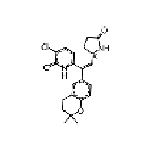 CC1(C)CCc2cc(C(=C[C@H]3CCC(=O)N3)c3ccc(Cl)c(=O)[nH]3)ccc2O1